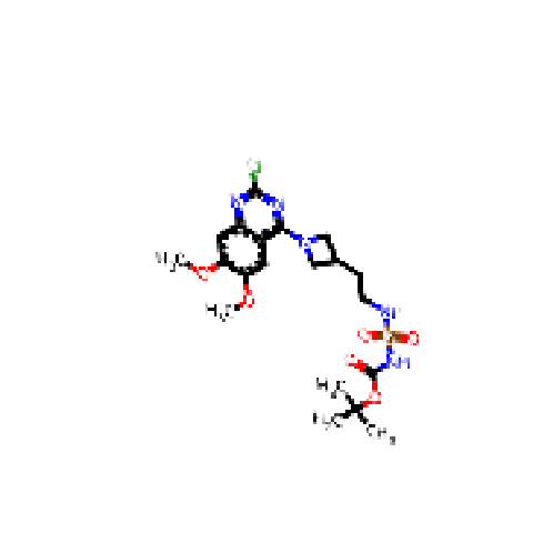 COc1cc2nc(Cl)nc(N3CC(CCNS(=O)(=O)NC(=O)OC(C)(C)C)C3)c2cc1OC